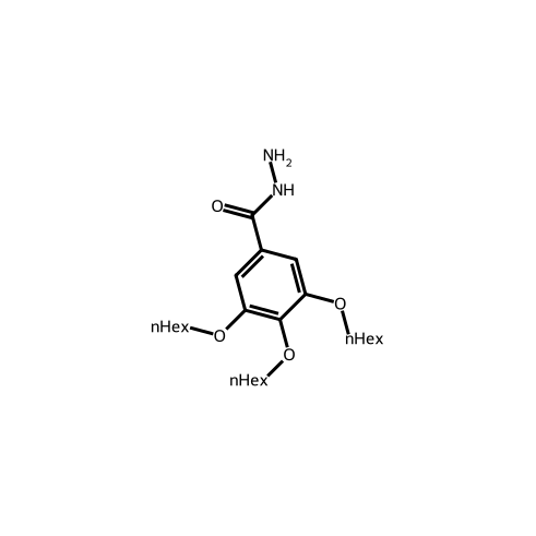 CCCCCCOc1cc(C(=O)NN)cc(OCCCCCC)c1OCCCCCC